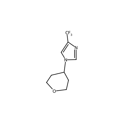 FC(F)(F)c1cn(C2CCOCC2)cn1